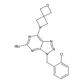 CC(C)(C)c1nc(N2CC3(COC3)C2)c2nnn(Cc3ccccc3Cl)c2n1